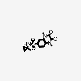 Cn1c(=O)c(=O)n(C)c2cc(S(=O)(=O)NC3(C)CC3)ccc21